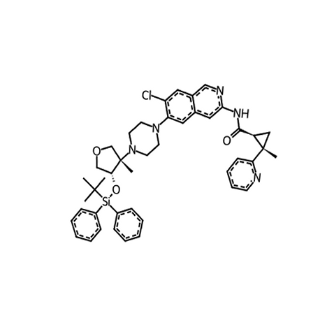 CC(C)(C)[Si](O[C@@H]1COC[C@]1(C)N1CCN(c2cc3cc(NC(=O)[C@H]4C[C@]4(C)c4ccccn4)ncc3cc2Cl)CC1)(c1ccccc1)c1ccccc1